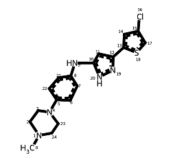 CN1CCN(c2ccc(Nc3cc(-c4cc(Cl)cs4)n[nH]3)cc2)CC1